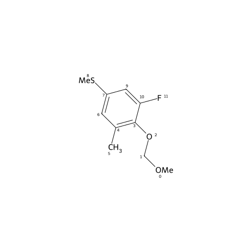 COCOc1c(C)cc(SC)cc1F